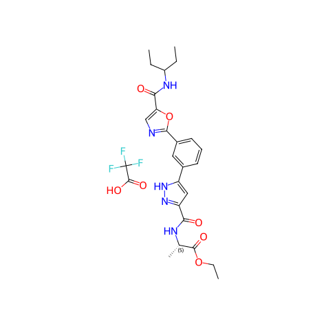 CCOC(=O)[C@H](C)NC(=O)c1cc(-c2cccc(-c3ncc(C(=O)NC(CC)CC)o3)c2)[nH]n1.O=C(O)C(F)(F)F